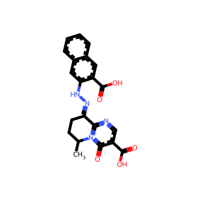 CC1CC/C(=N\Nc2cc3ccccc3cc2C(=O)O)c2ncc(C(=O)O)c(=O)n21